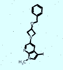 Cn1cc(I)c2cc(N3CC(OCc4ccccc4)C3)cnc21